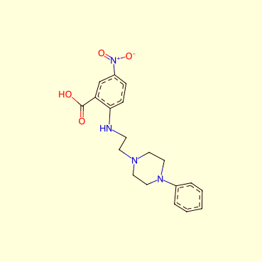 O=C(O)c1cc([N+](=O)[O-])ccc1NCCN1CCN(c2ccccc2)CC1